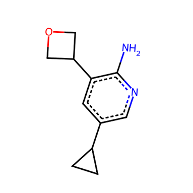 Nc1ncc(C2CC2)cc1C1COC1